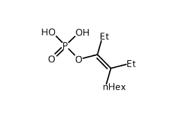 CCCCCCC(CC)=C(CC)OP(=O)(O)O